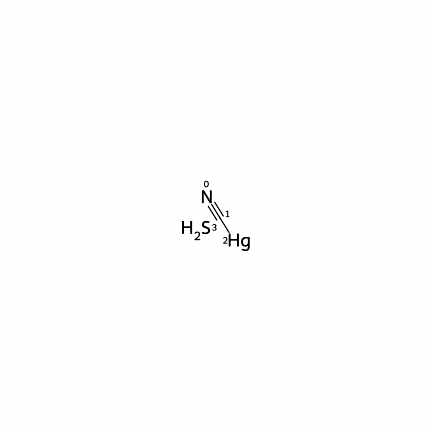 N#[C][Hg].S